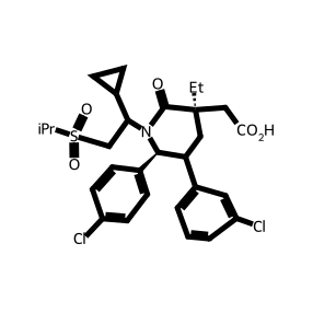 CC[C@]1(CC(=O)O)CC(c2cccc(Cl)c2)[C@@H](c2ccc(Cl)cc2)N(C(CS(=O)(=O)C(C)C)C2CC2)C1=O